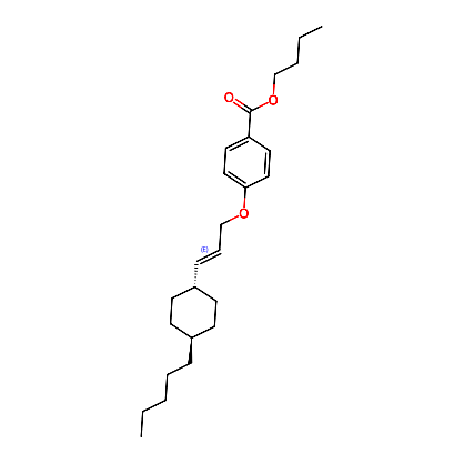 CCCCC[C@H]1CC[C@H](/C=C/COc2ccc(C(=O)OCCCC)cc2)CC1